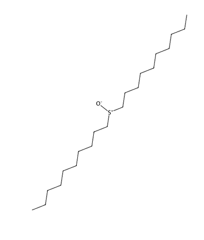 CCCCCCCCCC[S+]([O-])CCCCCCCCCC